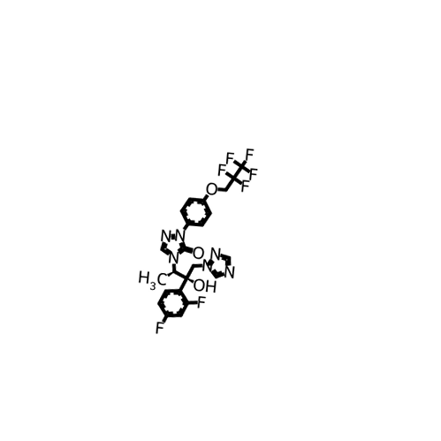 C[C@@H](n1cnn(-c2ccc(OCC(F)(F)C(F)(F)F)cc2)c1=O)[C@](O)(Cn1cncn1)c1ccc(F)cc1F